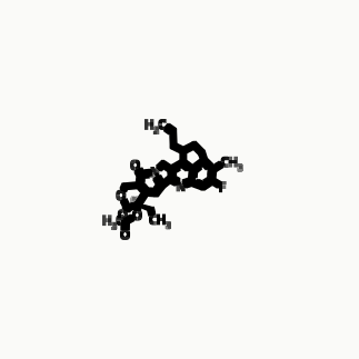 C=CCC1CCc2c(C)c(F)cc3nc4c(c1c23)Cn1c-4cc2c(c1=O)COC(=O)[C@@]2(CC)OC(C)=O